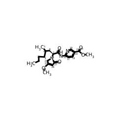 CCCCC(C)C[C@@H](C(=O)Nc1ccc(C(=O)OC)cn1)N1CC(OC)=CC1=O